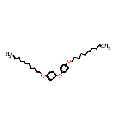 C=CCCCCCCCCCOc1ccc(Oc2ccc(OCCCCCCCCCC=C)cc2)cc1